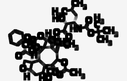 CC(=O)C[C@@]12CO[C@@H]1C[C@H](O)[C@@]1(C)C(=O)[C@H](OC(C)=O)C3=C(C)[C@@H](OC(=O)[C@H](O)[C@H](CC(C)C)NC(=O)OC(C)(C)C)[C@@H]4OC(=O)O[C@]4([C@@H](OC(=O)c4ccccc4)[C@H]21)C3(C)C